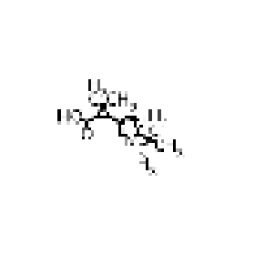 CC(C)(C)c1ncc(C2C(C(=O)O)C2(C)C)cn1